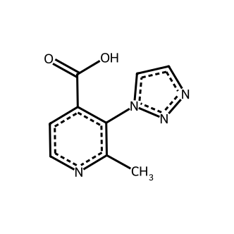 Cc1nccc(C(=O)O)c1-n1ccnn1